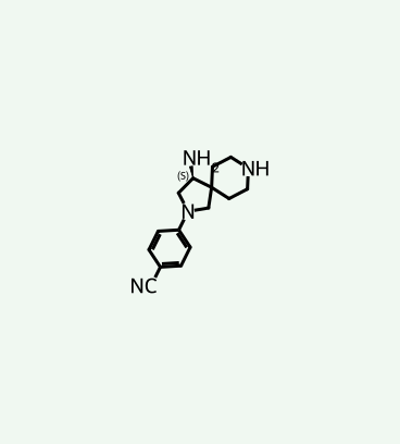 N#Cc1ccc(N2C[C@@H](N)C3(CCNCC3)C2)cc1